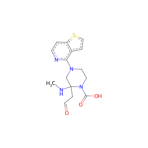 CNC1(CC=O)CN(c2nccc3sccc23)CCN1C(=O)O